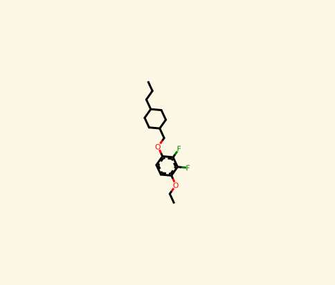 CCCC1CCC(COc2ccc(OCC)c(F)c2F)CC1